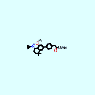 COC(=O)Cc1ccc(-c2cc(OC(C)C)c3c(c2)C(C)(C)CCC3N(C)C2CC2)cc1